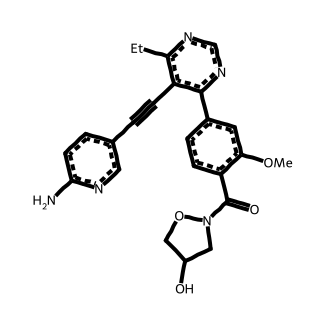 CCc1ncnc(-c2ccc(C(=O)N3CC(O)CO3)c(OC)c2)c1C#Cc1ccc(N)nc1